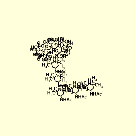 CC(=O)NC1CC(C)(C)NC(C)(C)C1.CC(=O)NC1CC(C)(C)NC(C)(C)C1.CC(=O)NC1CC(C)(C)NC(C)(C)C1.CC(=O)NC1CC(C)(C)NC(C)(C)C1.CC(=O)NC1CC(C)(C)NC(C)(C)C1.O=P(O)(O)C(N(CCN(C(P(=O)(O)O)P(=O)(O)O)C(P(=O)(O)O)P(=O)(O)O)CCN(C(P(=O)(O)O)P(=O)(O)O)C(P(=O)(O)O)P(=O)(O)O)P(=O)(O)O